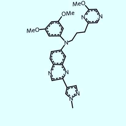 COc1cc(OC)cc(N(CCCc2cncc(OC)n2)c2ccc3ncc(-c4cnn(C)c4)nc3c2)c1